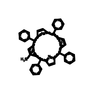 [SiH3]c1cc2[nH]c1c(-c1ccccc1)c1nc(c(-c3ccccc3)c3ccc([nH]3)c(-c3ccccc3)c3nc(c2-c2ccccc2)C=C3)C=C1